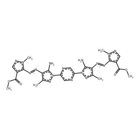 COC(=O)c1cnn(C)c1/N=N/c1c(C)nn(-c2cnc(-n3nc(C)c(/N=N/c4c(C(=O)OC)cnn4C)c3N)cn2)c1N